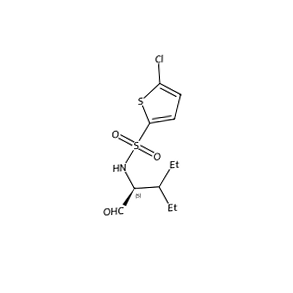 CCC(CC)[C@@H](C=O)NS(=O)(=O)c1ccc(Cl)s1